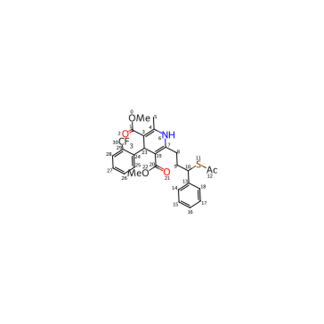 COC(=O)C1=C(C)NC(CCC(SC(C)=O)c2ccccc2)=C(C(=O)OC)C1c1ccccc1C(F)(F)F